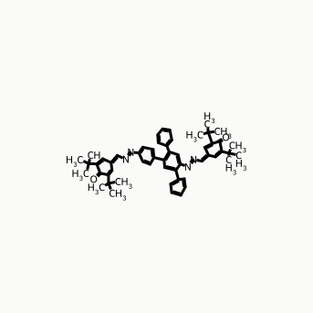 CC(C)(C)C1=CC(=C/N=N/c2ccc(-c3cc(-c4ccccc4)c(/N=N/C=C4C=C(C(C)(C)C)C(=O)C(C(C)(C)C)=C4)cc3-c3ccccc3)cc2)C=C(C(C)(C)C)C1=O